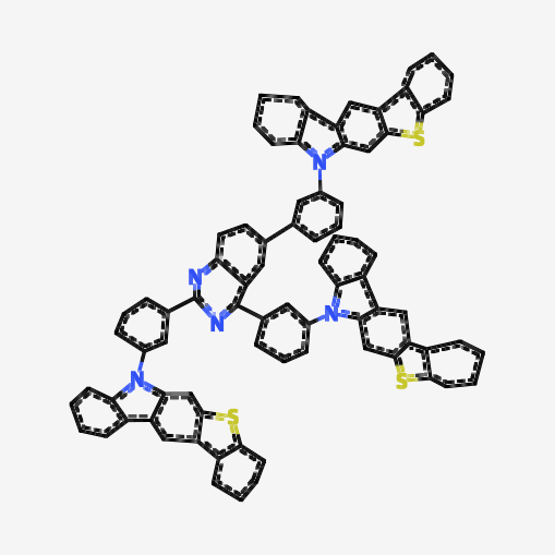 c1cc(-c2ccc3nc(-c4cccc(-n5c6ccccc6c6cc7c(cc65)sc5ccccc57)c4)nc(-c4cccc(-n5c6ccccc6c6cc7c(cc65)sc5ccccc57)c4)c3c2)cc(-n2c3ccccc3c3cc4c(cc32)sc2ccccc24)c1